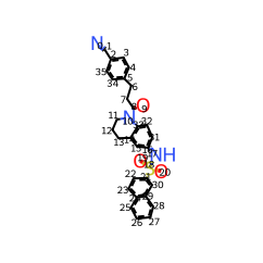 N#Cc1ccc(CCC(=O)N2CCCc3cc(NS(=O)(=O)c4ccc5ccccc5c4)ccc32)cc1